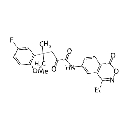 CCc1noc(=O)c2ccc(NC(=O)C(=O)CC(C)(C)c3cc(F)ccc3OC)cc12